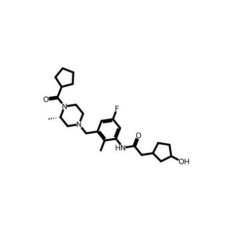 Cc1c(CN2CCN(C(=O)C3CCCC3)[C@@H](C)C2)cc(F)cc1NC(=O)CC1CCC(O)C1